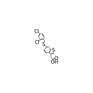 O=C(O)Cc1csc2cc(SCc3ccc(Cl)cc3Cl)ccc12